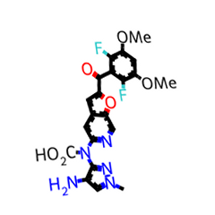 COc1cc(OC)c(F)c(C(=O)c2cc3cc(N(C(=O)O)c4nn(C)cc4N)ncc3o2)c1F